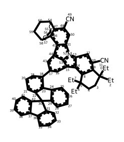 CCC1(CC)CCC(CC)(CC)c2c1c(C#N)cc1c2c2cc(-c3cccc4c3-c3ccccc3C43c4ccccc4-c4ccccc43)cc3c4c5c(c(C#N)cc4n1c32)C1CCCC5CC1